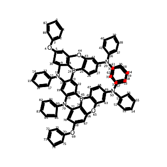 c1ccc(Oc2cc3c4c(c2)N(c2ccccc2)c2cc5c(cc2B4c2ccc(N(c4ccccc4)c4ccccc4)cc2O3)B2c3ccc(N(c4ccccc4)c4ccccc4)cc3Oc3cc(Oc4ccccc4)cc(c32)N5c2ccccc2)cc1